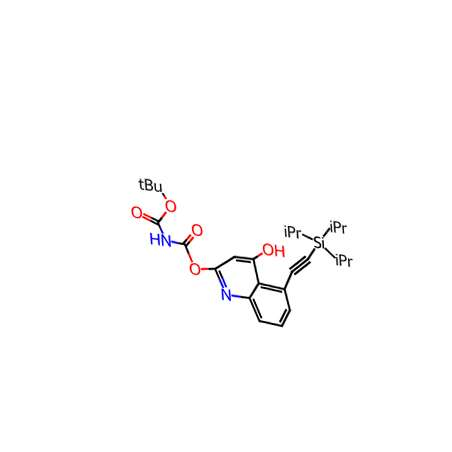 CC(C)[Si](C#Cc1cccc2nc(OC(=O)NC(=O)OC(C)(C)C)cc(O)c12)(C(C)C)C(C)C